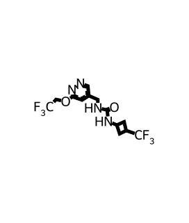 O=C(NCc1cnnc(OCC(F)(F)F)c1)NC1CC(C(F)(F)F)C1